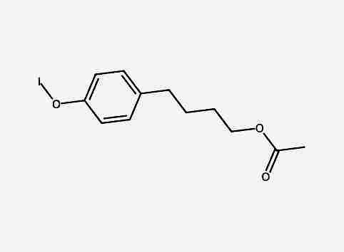 CC(=O)OCCCCc1ccc(OI)cc1